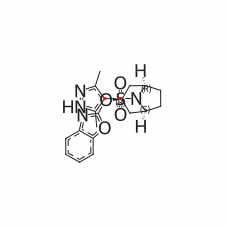 Cc1n[nH]c(C)c1S(=O)(=O)N1[C@@H]2CC[C@H]1C[C@@H](Oc1nc3ccccc3o1)C2